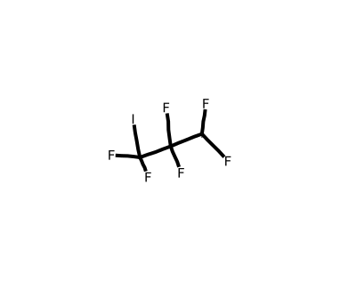 F[C](F)C(F)(F)C(F)(F)I